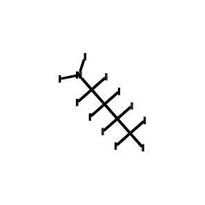 IN(I)C(I)(I)C(I)(I)C(I)(I)C(I)(I)I